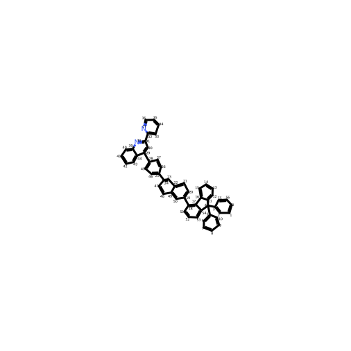 c1ccc(C2(c3ccccc3)c3ccccc3-c3c(-c4ccc5cc(-c6ccc(-c7cc(-c8ccccn8)nc8ccccc78)cc6)ccc5c4)cccc32)cc1